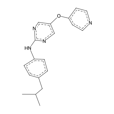 CC(C)Cc1ccc(Nc2ncc(Oc3ccncc3)cn2)cc1